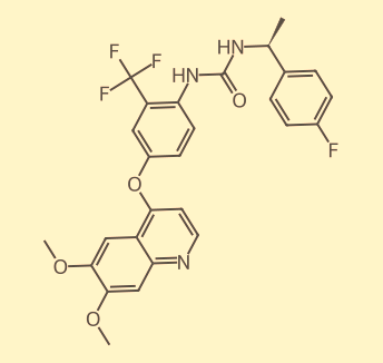 COc1cc2nccc(Oc3ccc(NC(=O)N[C@@H](C)c4ccc(F)cc4)c(C(F)(F)F)c3)c2cc1OC